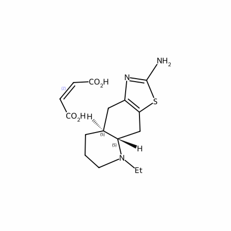 CCN1CCC[C@H]2Cc3nc(N)sc3C[C@@H]21.O=C(O)/C=C\C(=O)O